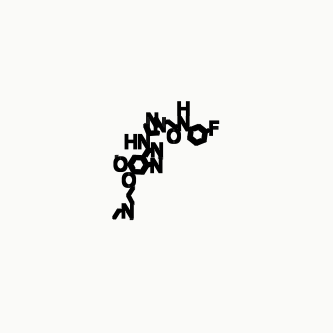 CCN(C)CCCOc1cc2ncnc(Nc3cnn(CC(=O)Nc4cccc(F)c4)c3)c2cc1OC